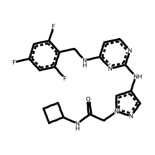 O=C(Cn1cc(Nc2nccc(NCc3c(F)cc(F)cc3F)n2)cn1)NC1CCC1